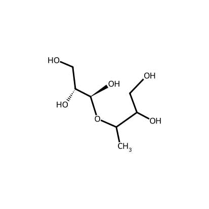 CC(O[C@H](O)[C@H](O)CO)C(O)CO